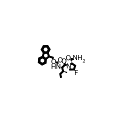 CC[C@H](C)[C@H](NC(=O)OCC1c2ccccc2-c2ccccc21)C(=O)N1C[C@@H](F)C[C@H]1C(N)=O